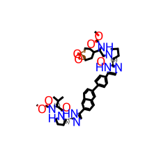 COC(=O)NC(C(=O)N1CCC[C@H]1c1ncc(-c2ccc(-c3ccc4cc(-c5cnc([C@@H]6CCCN6C(=O)[C@@H](NC(=O)OC)C(C)C)[nH]5)ccc4c3)cc2)[nH]1)C1CCS(=O)(=O)CC1